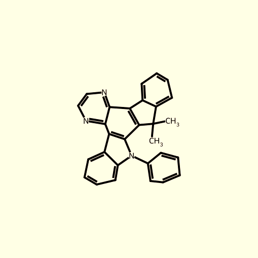 CC1(C)c2ccccc2-c2c1c1c(c3ccccc3n1-c1ccccc1)c1nccnc21